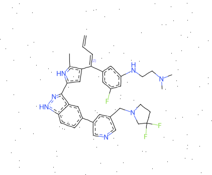 C=C/C=C(/c1cc(F)cc(NCCN(C)C)c1)c1cc(-c2n[nH]c3ccc(-c4cncc(CN5CCC(F)(F)C5)c4)cc23)[nH]c1C